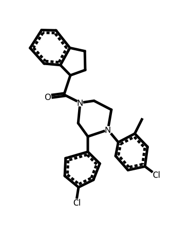 Cc1cc(Cl)ccc1N1CCN(C(=O)C2CCc3ccccc32)CC1c1ccc(Cl)cc1